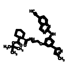 C#Cc1ccc2nc(Nc3cc(OCCNC(=O)[C@@H]4CCCCN4C(=O)OC(C)(C)C)cc(-c4cnn(C)c4)c3)ncc2c1